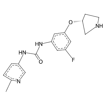 Cc1ccc(NC(=O)Nc2cc(F)cc(O[C@@H]3CCNC3)c2)cn1